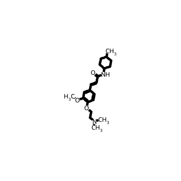 COc1cc(C=CC(=O)NC2CCC(C)CC2)ccc1OCCN(C)C